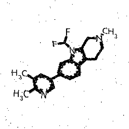 Cc1cc(-c2ccc3c4c(n(C(F)F)c3c2)CN(C)CC4)cnc1C